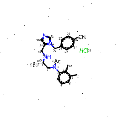 CCCC[C@@H](CN(C(C)=O)c1cccc(C)c1C)NCc1cncn1Cc1ccc(C#N)cc1.Cl